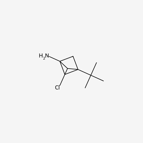 CC(C)(C)C12CC(N)(C1)C2Cl